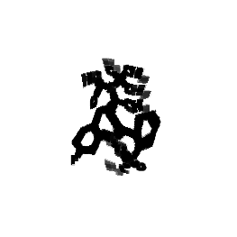 C[C@@H](c1cc2ccc(F)cc2nc1-c1ccccc1S(C)(=O)=O)N(C(=O)O)C(C)(C)C